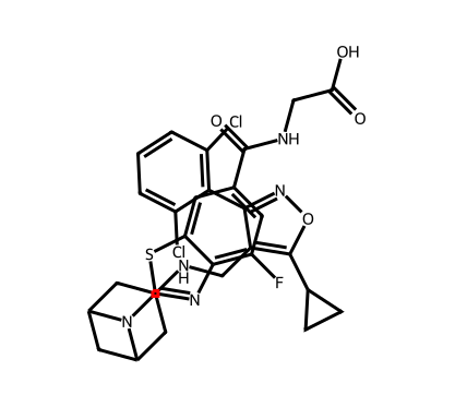 O=C(O)CNC(=O)c1cc(F)c2nc(N3C4CC(NCc5c(-c6c(Cl)cccc6Cl)noc5C5CC5)CC3C4)sc2c1